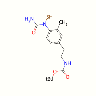 Cc1cc(CCNC(=O)OC(C)(C)C)ccc1N(S)C(N)=O